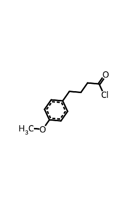 COc1ccc(CCCC(=O)Cl)cc1